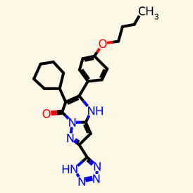 CCCCOc1ccc(-c2[nH]c3cc(-c4nnn[nH]4)nn3c(=O)c2C2CCCCC2)cc1